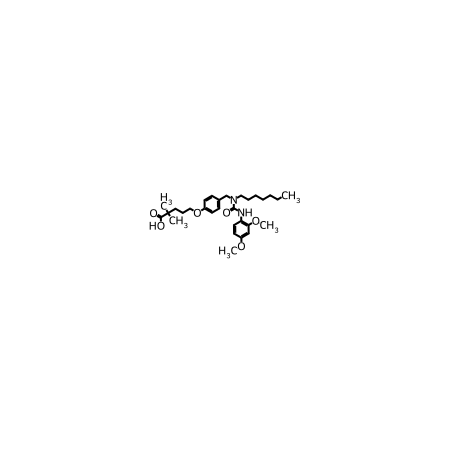 CCCCCCCN(Cc1ccc(OCCCC(C)(C)C(=O)O)cc1)C(=O)Nc1ccc(OC)cc1OC